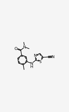 Cc1ccc(C(=O)N(C)C)cc1Nc1ncc(C#N)s1